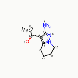 COC(=O)c1c(N)nn2c1CCCC2